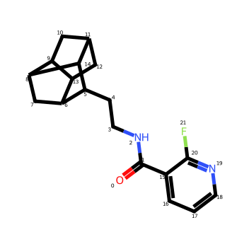 O=C(NCCC1C2CC3C4CC(CC24)C13)c1cccnc1F